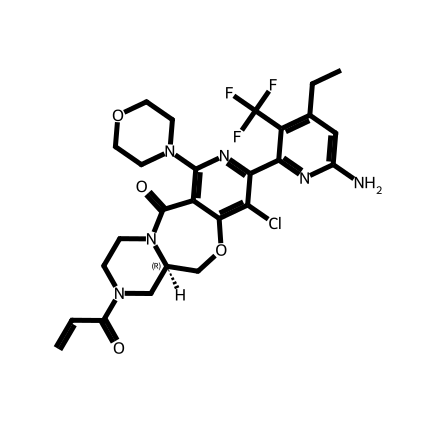 C=CC(=O)N1CCN2C(=O)c3c(N4CCOCC4)nc(-c4nc(N)cc(CC)c4C(F)(F)F)c(Cl)c3OC[C@H]2C1